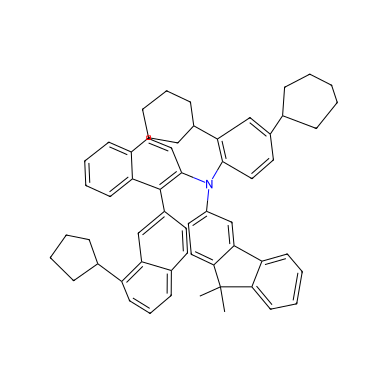 CC1(C)c2ccccc2-c2cc(N(c3ccc(C4CCCCC4)cc3C3CCCCC3)c3ccc4ccccc4c3-c3ccc4cccc(C5CCCC5)c4c3)ccc21